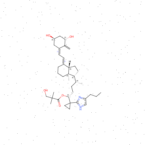 C=C1/C(=C\C=C2/CCC[C@]3(C)[C@@H]([C@H](C)CC[C@@H](OC(=O)C(C)(C)CO)C4(c5nc(CCC)c[nH]5)CC4)CC[C@@H]23)C[C@@H](O)C[C@@H]1O